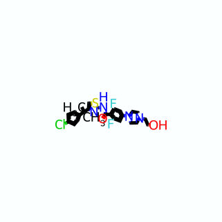 CC(C)(c1ccc(Cl)cc1)c1csc(NC(=O)c2c(F)cc(N3CCN(CCO)CC3)cc2F)n1